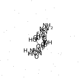 Nc1nc2c(ncn2[C@@H]2OC3CCP(=O)(O)O[C@H]4[C@@H](F)[C@H](n5cnc6c(N)ncnc65)O[C@@H]4COP(=O)(O)O[C@H]3[C@H]2F)c(=O)[nH]1